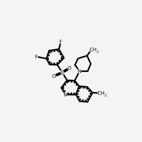 Cc1ccc2ncc(S(=O)(=O)c3cc(F)cc(F)c3)c(N3CCC(C)CC3)c2c1